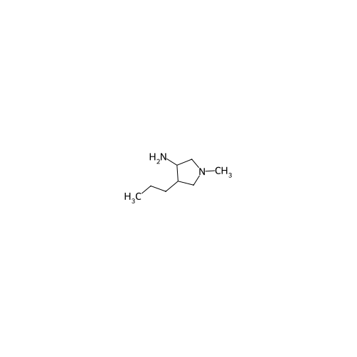 CCCC1CN(C)CC1N